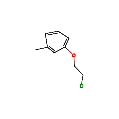 Cc1cccc(OCCCl)c1